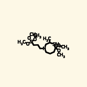 COC1(OC)CCCN(CCC[Si](OC)(OC)OC)CC(C)[SiH2]1